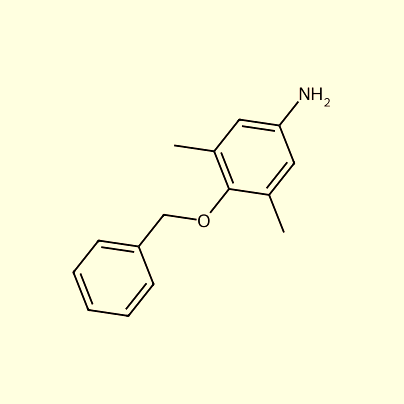 Cc1cc(N)cc(C)c1OCc1ccccc1